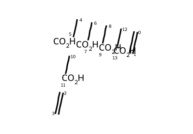 C=C.C=C.CC(=O)O.CC(=O)O.CC(=O)O.CC(=O)O.CC(=O)O